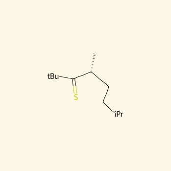 CC(C)CC[C@@H](C)C(=S)C(C)(C)C